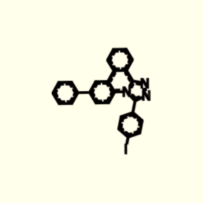 Ic1ccc(-c2nnc3c4ccccc4c4cc(-c5ccccc5)ccc4n23)cc1